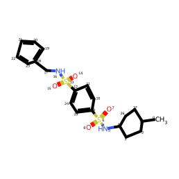 CC1CCC(NS(=O)(=O)c2ccc(S(=O)(=O)NCc3ccccc3)cc2)CC1